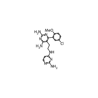 COc1ccc(Cl)cc1-c1nc(N)nc(N)c1CCNc1ccnc(N)n1